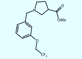 COC(=O)C1CCN(Cc2cccc(OCC(F)(F)F)c2)C1